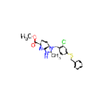 COC(=O)c1ccc2c(n1)NC(C)N2Cc1ccc(SCc2ccccc2)cc1Cl